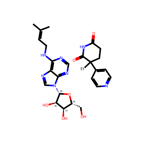 CC(C)=CCNc1ncnc2c1ncn2[C@@H]1O[C@H](CO)[C@@H](O)[C@H]1O.CCC1(c2ccncc2)CCC(=O)NC1=O